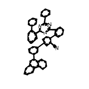 N#Cc1cc(-c2cccc(-c3cc4ccccc4c4ccccc34)c2)ccc1-c1ccccc1-c1nc(-c2ccccc2)nc(-c2ccccc2-c2ccccc2)n1